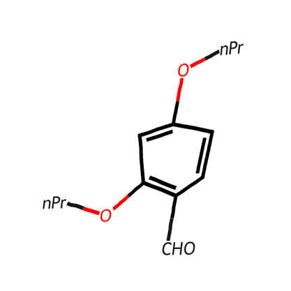 CCCOc1ccc(C=O)c(OCCC)c1